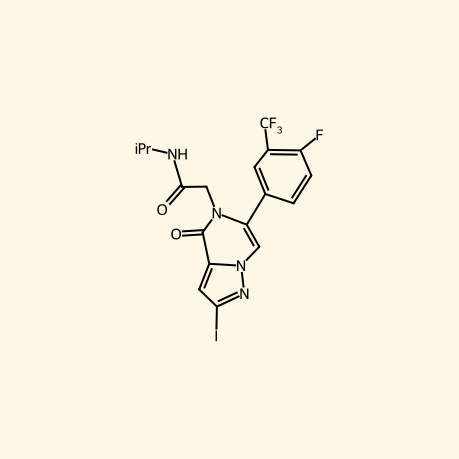 CC(C)NC(=O)Cn1c(-c2ccc(F)c(C(F)(F)F)c2)cn2nc(I)cc2c1=O